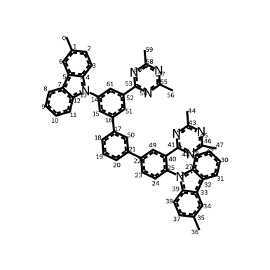 Cc1ccc2c(c1)c1ccccc1n2-c1cc(-c2cccc(-c3ccc(-n4c5ccccc5c5cc(C)ccc54)c(-c4nc(C)nc(C)n4)c3)c2)cc(-c2nc(C)nc(C)n2)c1